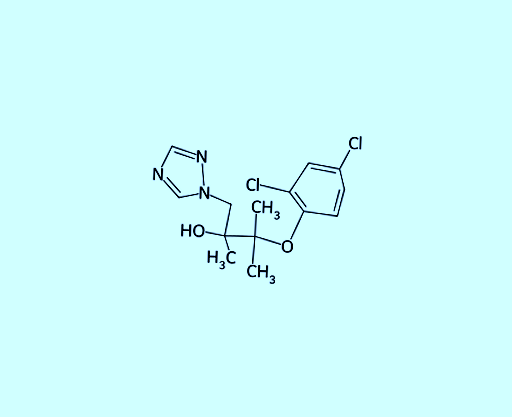 CC(O)(Cn1cncn1)C(C)(C)Oc1ccc(Cl)cc1Cl